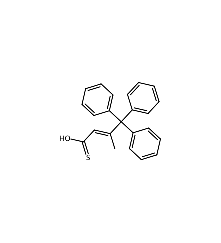 CC(=CC(O)=S)C(c1ccccc1)(c1ccccc1)c1ccccc1